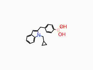 OB(O)c1ccc(Cc2cc3ccccc3n2CC2CC2)cc1